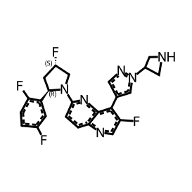 Fc1ccc(F)c([C@H]2C[C@H](F)CN2c2ccc3ncc(F)c(-c4cnn(C5CNC5)c4)c3n2)c1